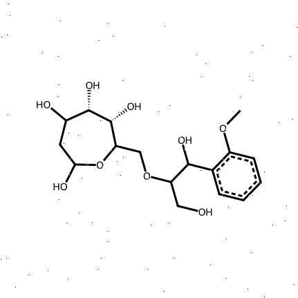 COc1ccccc1C(O)C(CO)OCC1OC(O)CC(O)[C@H](O)[C@@H]1O